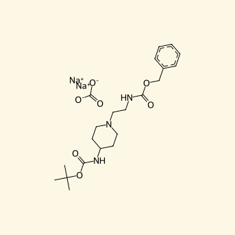 CC(C)(C)OC(=O)NC1CCN(CCNC(=O)OCc2ccccc2)CC1.O=C([O-])[O-].[Na+].[Na+]